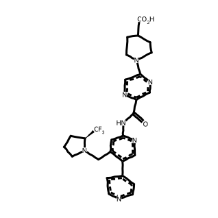 O=C(Nc1cc(CN2CCC[C@H]2C(F)(F)F)c(-c2ccncc2)cn1)c1cnc(N2CCC(C(=O)O)CC2)cn1